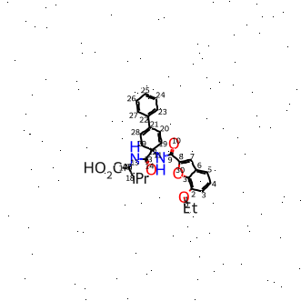 CCOc1cccc2cc(C(=O)NC3(C(=O)N[C@H](C(=O)O)C(C)C)C=CC(c4ccccc4)=CC3)oc12